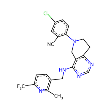 Cc1nc(C(F)(F)F)ccc1CNc1ncnc2c1CN(c1ccc(Cl)cc1C#N)CC2